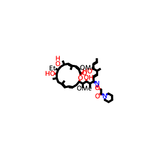 C/C=C/C(O)C(C)/C=C/C(=N/OCC(=O)N1CCCCC1)C(C)C(O)C(C)C1OC(=O)C(OC)=C/C(C)=C/C(C)C(O)C(CC)C(O)C(C)C/C(C)=C/C=C/C1OC